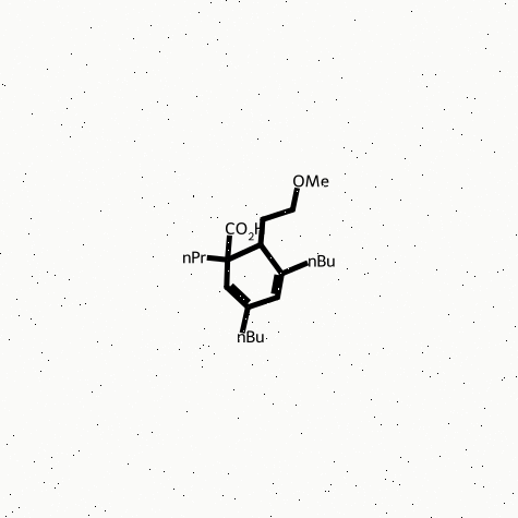 CCCCC1=CC(CCC)(C(=O)O)C(CCOC)C(CCCC)=C1